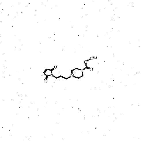 CC(C)(C)OC(=O)N1CCN(CCCN2C(=O)C=CC2=O)CC1